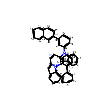 C(=C/c1cc2ccccc2n1-c1ccccc1-c1ccccc1)/c1cc2ccccc2n1-c1cccc(-c2ccc3ccccc3c2)c1